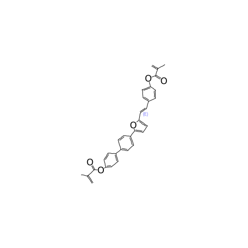 C=C(C)C(=O)Oc1ccc(/C=C/c2ccc(-c3ccc(-c4ccc(OC(=O)C(=C)C)cc4)cc3)o2)cc1